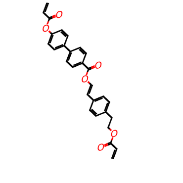 C=CC(=O)OCCc1ccc(/C=C/OC(=O)c2ccc(-c3ccc(OC(=O)C=C)cc3)cc2)cc1